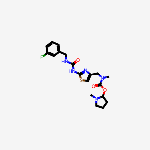 CN(Cc1csc(NC(=O)NCc2cccc(F)c2)n1)C(=O)OC1CCCN1C